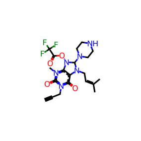 C#CCn1c(=O)c2c(n(C)c1=O)N(OC(=O)C(F)(F)F)C(N1CCNCC1)N2CC=C(C)C